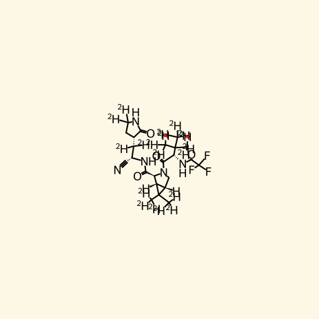 [2H]C1([2H])C[C@@H](C([2H])([2H])[C@@H](C#N)NC(=O)[C@@H]2[C@@H]3[C@H](CN2C(=O)[C@@H](NC(=O)C(F)(F)F)C(C([2H])([2H])[2H])(C([2H])([2H])[2H])C([2H])([2H])[2H])C3(C([2H])([2H])[2H])C([2H])([2H])[2H])C(=O)N1